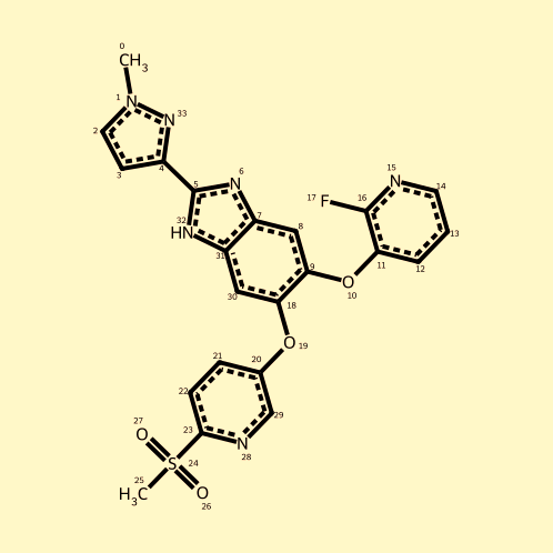 Cn1ccc(-c2nc3cc(Oc4cccnc4F)c(Oc4ccc(S(C)(=O)=O)nc4)cc3[nH]2)n1